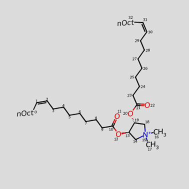 CCCCCCCC/C=C\CCCCCCCC(=O)O[C@@H]1C[N+](C)(C)C[C@H]1OC(=O)CCCCCCC/C=C\CCCCCCCC